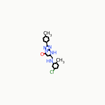 Cc1ccc(-c2nc3[nH]c(CNc4cc(Cl)ccc4C)cc(=O)n3n2)cc1